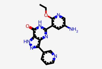 CCOc1ncc(N)cc1-c1nc2c(-c3cccnc3)n[nH]c2c(=O)[nH]1